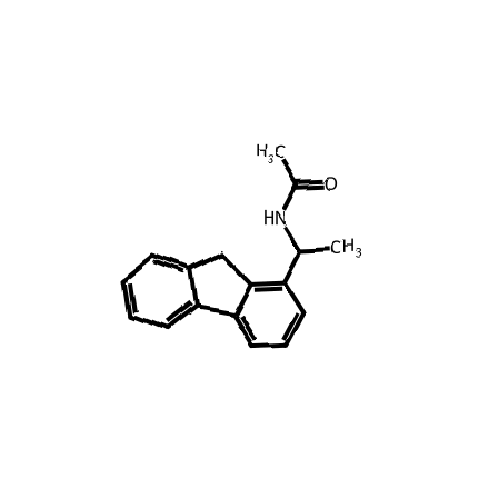 CC(=O)NC(C)c1cccc2c1[CH]c1ccccc1-2